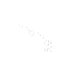 CNC(=O)c1ccc(C2=CCN(Cc3ccc4c(c3)NC(=C=O)C3(CC3)C4)CC2)cn1